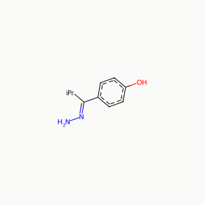 CC(C)C(=NN)c1ccc(O)cc1